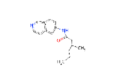 CCCC(C)CC(=O)Nc1ccc2cnccc2c1